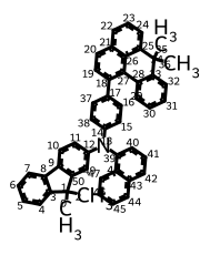 CC1(C)c2ccccc2-c2ccc(N(c3ccc(-c4ccc5cccc6c5c4-c4ccccc4C6(C)C)cc3)c3cccc4ccccc34)cc21